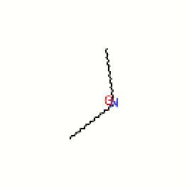 CCCCCCCCCCCCCCCCCCCN(C)C(=O)CCCCCCCCCCCCCCCCC